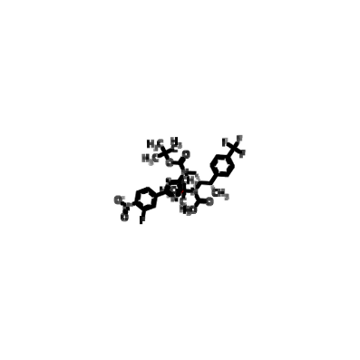 C[C@@H](c1ccc(C(F)(F)F)cc1)[C@@H](CN(C(=O)OC(C)(C)C)c1nnc(-c2ccc([N+](=O)[O-])c(F)c2)s1)N(C(=O)O)C(C)(C)C